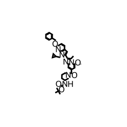 COc1cc(C(=O)N2CCC[C@@H](NC(=O)OC(C)(C)C)C2)cc2nc(-c3cc4ccc(OCc5ccccc5)nc4n3CC3CC3)c(C)n12